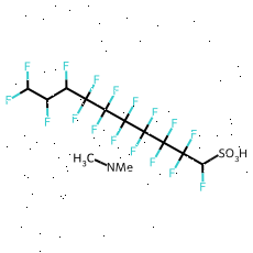 CNC.O=S(=O)(O)C(F)C(F)(F)C(F)(F)C(F)(F)C(F)(F)C(F)(F)C(F)(F)C(F)C(F)C(F)F